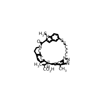 Cc1c2ccc3c1nnn3CCCCCc1ccc3c(c1)cc(n3C)C(=O)N1CCc3ccc(cc3C1)[C@@H]2[C@H](C)C(=O)O